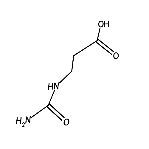 NC(=O)NCCC(=O)O